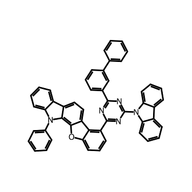 c1ccc(-c2cccc(-c3nc(-c4cccc5oc6c(ccc7c8ccccc8n(-c8ccccc8)c76)c45)nc(-n4c5ccccc5c5ccccc54)n3)c2)cc1